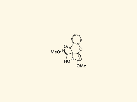 CON=C(C)C1(N(O)C(=O)OC)C(=O)Oc2ccccc2C1=O